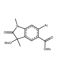 COC(=O)c1cc2c(cc1C(C)=O)N(C)C(=O)C2(C)OC